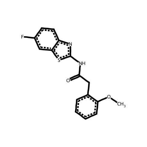 COc1ccccc1CC(=O)Nc1nc2ccc(F)cc2s1